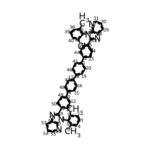 Cc1cccc(C)c1-n1c(-c2ccc(-c3ccc(-c4ccc(-c5ccc(-c6nc7cccnc7n6-c6c(C)cccc6C)cc5)cc4)cc3)cc2)nc2cccnc21